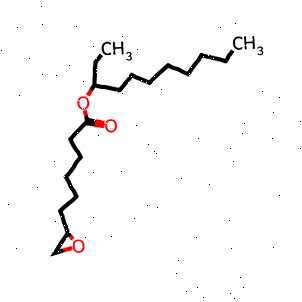 CCCCCCCCC(CC)OC(=O)CCCCCC1CO1